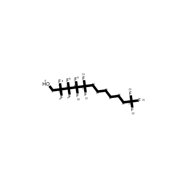 OCC(F)(F)C(F)(F)C(F)(F)C(F)(F)CCCCCCC(F)(F)F